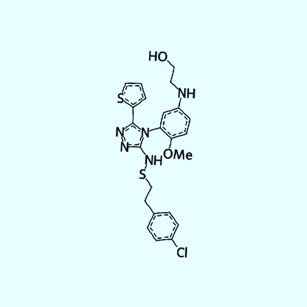 COc1ccc(NCCO)cc1-n1c(NSCCc2ccc(Cl)cc2)nnc1-c1cccs1